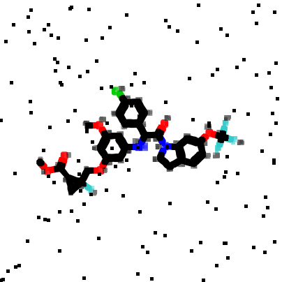 COC(=O)[C@@H]1C[C@@]1(F)COc1cc(NC(C(=O)N2CCc3ccc(OC(F)(F)F)cc32)c2ccc(Cl)cc2)cc(OC)c1